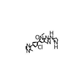 CCn1c(=O)c(-c2ccc(-c3nccnc3C)cc2Cl)cc2cnc(NC3CCNC3)nc21